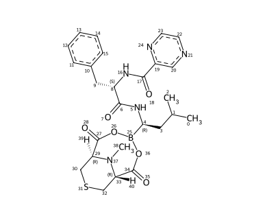 CC(C)C[C@H](NC(=O)[C@H](Cc1ccccc1)NC(=O)c1cnccn1)B1OC(=O)[C@@H]2CSC[C@@H](C(=O)O1)N2C